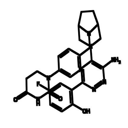 Nc1nnc(-c2cc(F)ccc2O)cc1N1CC2CCC(C1)N2Cc1ccc(N2CCC(=O)NC2=O)cn1